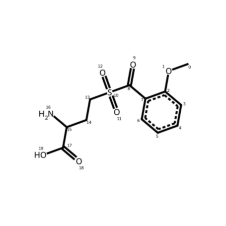 COc1ccccc1C(=O)S(=O)(=O)CCC(N)C(=O)O